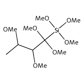 COC(C)C(OC)C(OC)(OC)[Si](OC)(OC)OC